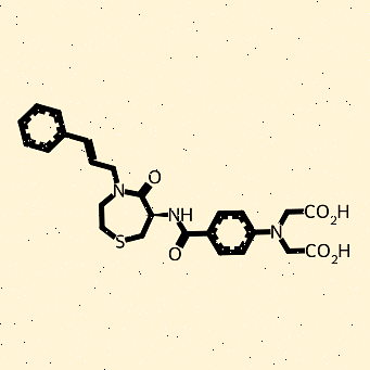 O=C(O)CN(CC(=O)O)c1ccc(C(=O)N[C@H]2CSCCN(CC=Cc3ccccc3)C2=O)cc1